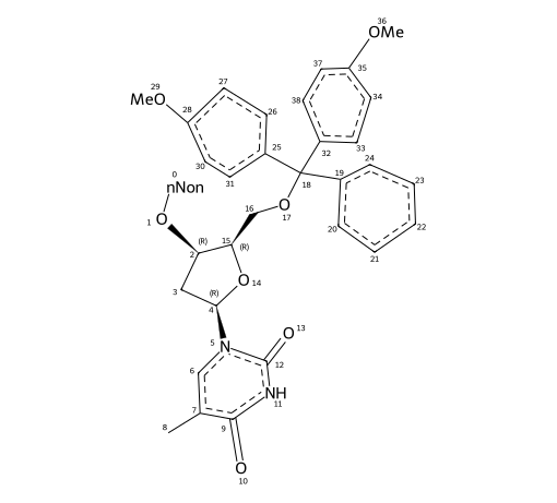 CCCCCCCCCO[C@@H]1C[C@H](n2cc(C)c(=O)[nH]c2=O)O[C@@H]1COC(c1ccccc1)(c1ccc(OC)cc1)c1ccc(OC)cc1